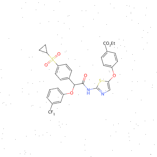 CCOC(=O)c1ccc(Oc2cnc(NC(=O)C(Oc3cccc(C(F)(F)F)c3)c3ccc(S(=O)(=O)C4CC4)cc3)s2)cc1